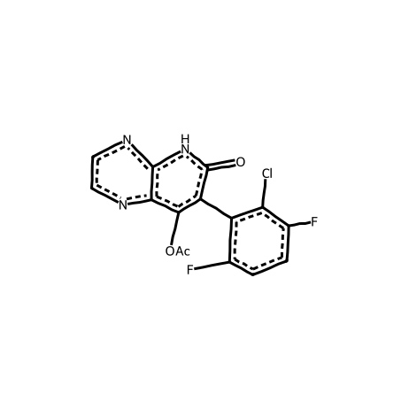 CC(=O)Oc1c(-c2c(F)ccc(F)c2Cl)c(=O)[nH]c2nccnc12